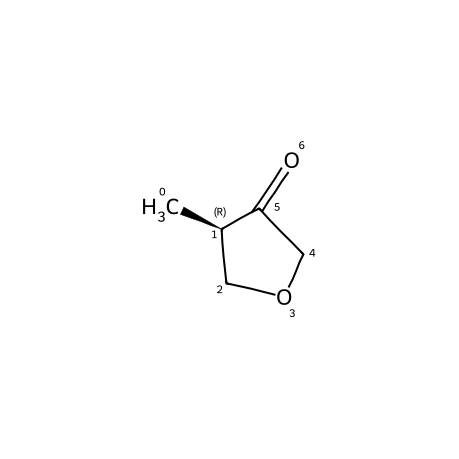 C[C@@H]1COCC1=O